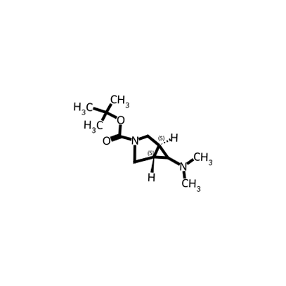 CN(C)C1[C@@H]2CN(C(=O)OC(C)(C)C)C[C@@H]12